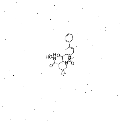 CS(=O)(=O)N1CC2(CC2)C[C@H](C(=O)NO)[C@H]1C(=O)C1CC(c2ccccc2)=CCN1